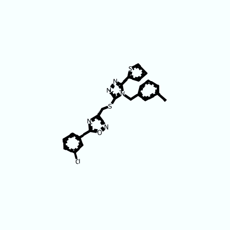 Cc1cccc(Cn2c(SCc3noc(-c4cccc(Cl)c4)n3)nnc2-c2cccs2)c1